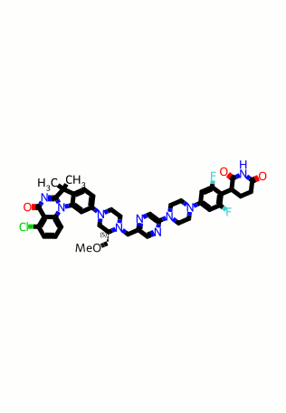 COC[C@@H]1CN(c2ccc3c(c2)-n2c(nc(=O)c4c(Cl)cccc42)C3(C)C)CCN1Cc1cnc(N2CCN(c3cc(F)c(C4CCC(=O)NC4=O)c(F)c3)CC2)cn1